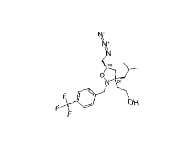 CC(C)C[C@]1(CCO)C[C@H](CN=[N+]=[N-])ON1Cc1ccc(C(F)(F)F)cc1